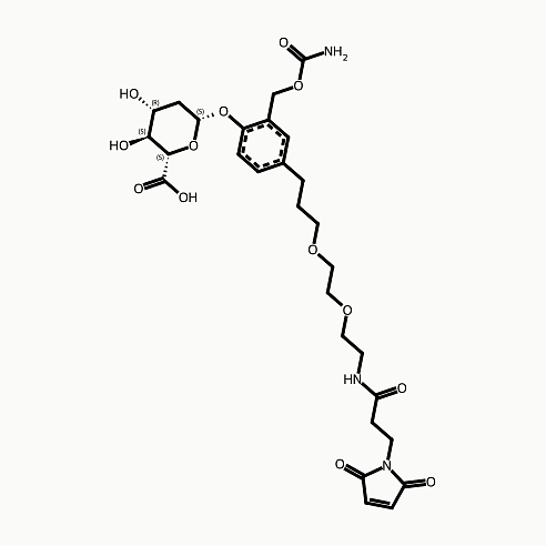 NC(=O)OCc1cc(CCCOCCOCCNC(=O)CCN2C(=O)C=CC2=O)ccc1O[C@H]1C[C@@H](O)[C@H](O)[C@@H](C(=O)O)O1